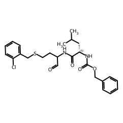 CC(C)C[C@H](NC(=O)OCc1ccccc1)C(=O)NC(C=O)CCSCc1ccccc1Cl